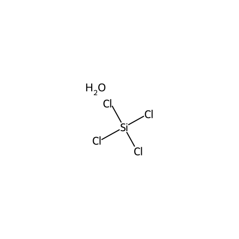 Cl[Si](Cl)(Cl)Cl.O